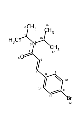 CC(C)N(C(=O)C=Cc1ccc(Br)cc1)C(C)C